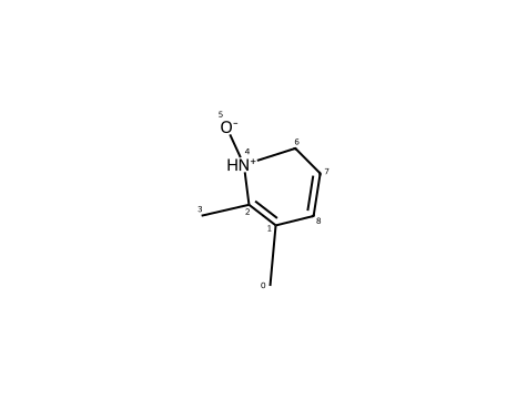 CC1=C(C)[NH+]([O-])CC=C1